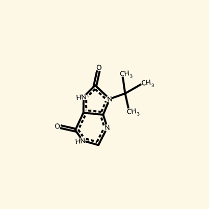 CC(C)(C)n1c(=O)[nH]c2c(=O)[nH]cnc21